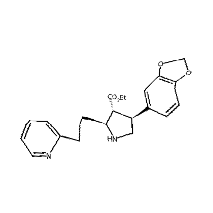 CCOC(=O)[C@H]1[C@H](CCc2ccccn2)NC[C@@H]1c1ccc2c(c1)OCO2